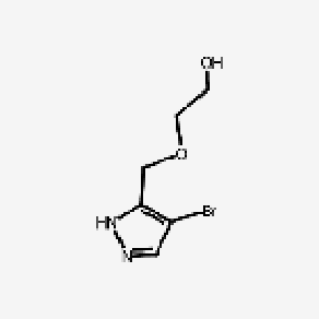 OCCOCc1[nH]ncc1Br